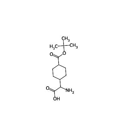 CC(C)(C)OC(=O)C1CCC(C(N)C(=O)O)CC1